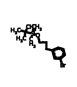 CC(C)(C)[Si](C)(C)OCCCc1cccc(Br)c1